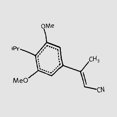 COc1cc(/C(C)=C/C#N)cc(OC)c1C(C)C